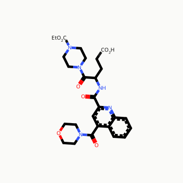 CCOC(=O)N1CCN(C(=O)C(CCC(=O)O)NC(=O)c2cc(C(=O)N3CCOCC3)c3ccccc3n2)CC1